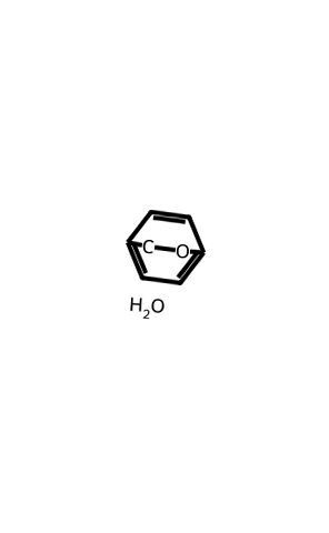 O.c1cc2ccc1CO2